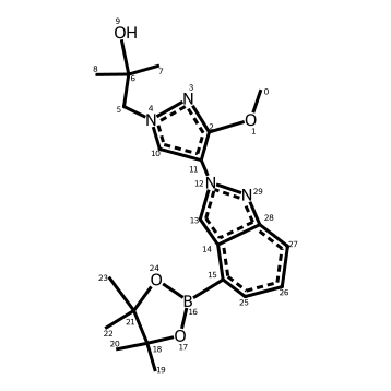 COc1nn(CC(C)(C)O)cc1-n1cc2c(B3OC(C)(C)C(C)(C)O3)cccc2n1